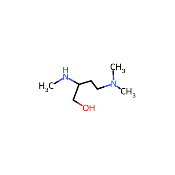 CNC(CO)CCN(C)C